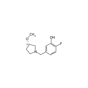 CO[C@H]1CCN(Cc2ccc(F)c(O)c2)C1